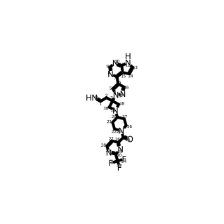 N=CCC1(n2cc(-c3ncnc4[nH]ccc34)cn2)CN(C2CCN(C(=O)c3ccnc(C(F)(F)F)n3)CC2)C1